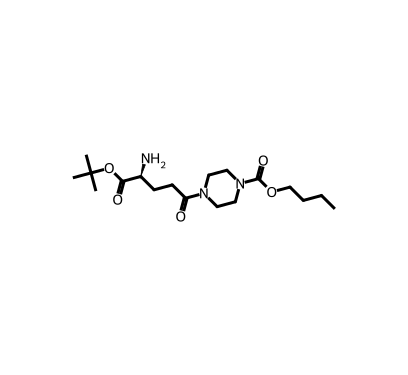 CCCCOC(=O)N1CCN(C(=O)CC[C@H](N)C(=O)OC(C)(C)C)CC1